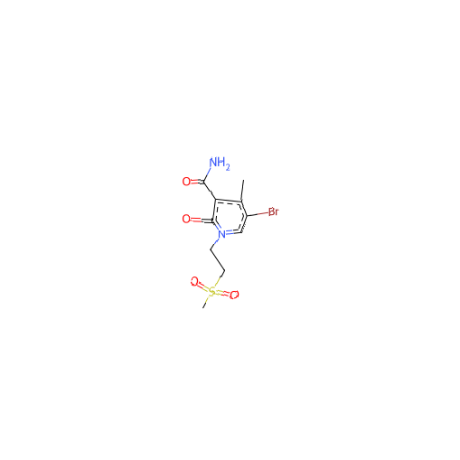 Cc1c(Br)cn(CCS(C)(=O)=O)c(=O)c1C(N)=O